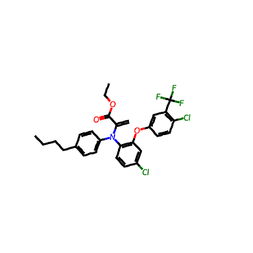 C=C(C(=O)OCC)N(c1ccc(CCCC)cc1)c1ccc(Cl)cc1Oc1ccc(Cl)c(C(F)(F)F)c1